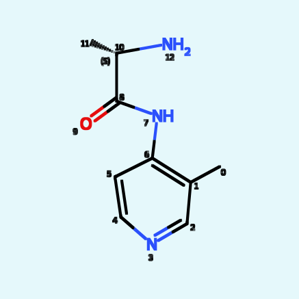 Cc1cnccc1NC(=O)[C@H](C)N